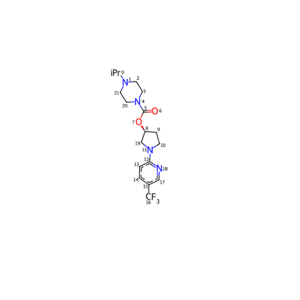 CC(C)N1CCN(C(=O)O[C@H]2CCN(c3ccc(C(F)(F)F)cn3)C2)CC1